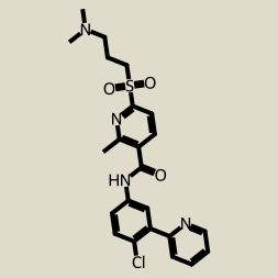 Cc1nc(S(=O)(=O)CCCN(C)C)ccc1C(=O)Nc1ccc(Cl)c(-c2ccccn2)c1